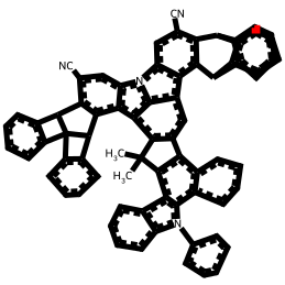 CC1(C)c2c(c3ccccc3c3c2c2ccccc2n3-c2ccccc2)-c2cc3c4c5c(c(C#N)cc4n4c6cc(C#N)c7c(c6c(c21)c34)C1c2ccccc2C12c1ccccc1C72)C1c2ccccc2C5c2ccccc21